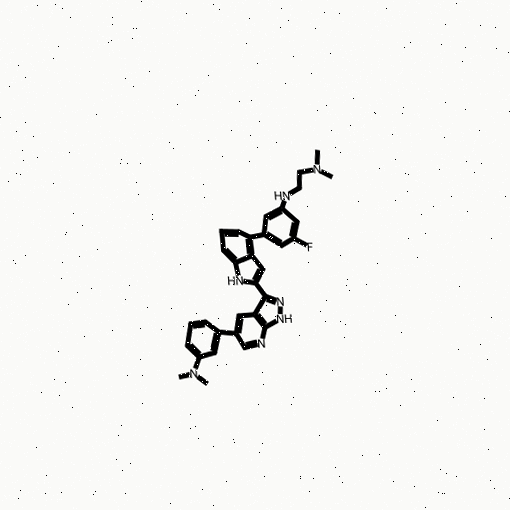 CN(C)CCNc1cc(F)cc(-c2cccc3[nH]c(-c4n[nH]c5ncc(-c6cccc(N(C)C)c6)cc45)cc23)c1